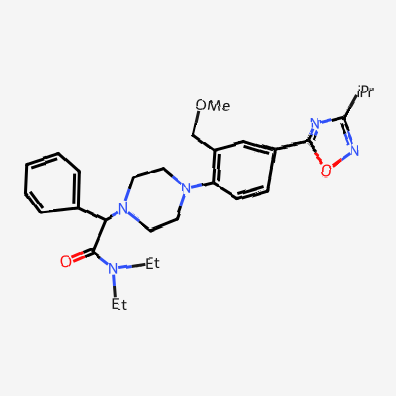 CCN(CC)C(=O)C(c1ccccc1)N1CCN(c2ccc(-c3nc(C(C)C)no3)cc2COC)CC1